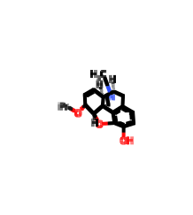 CC(C)O[C@H]1C=C[C@H]2[C@H]3Cc4ccc(O)c5c4[C@@]2(CCN3C)[C@H]1O5